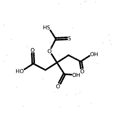 O=C(O)CC(CC(=O)O)(OC(=S)S)C(=O)O